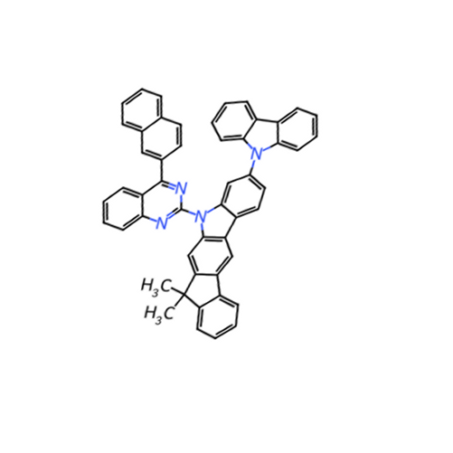 CC1(C)c2ccccc2-c2cc3c4ccc(-n5c6ccccc6c6ccccc65)cc4n(-c4nc(-c5ccc6ccccc6c5)c5ccccc5n4)c3cc21